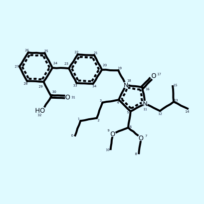 CCCCc1c(C(OC)OC)n(CC(C)C)c(=O)n1Cc1ccc(-c2ccccc2C(=O)O)cc1